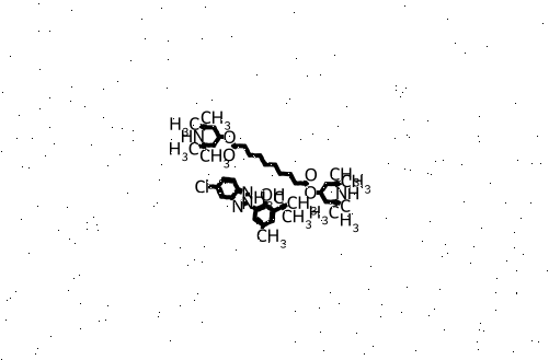 CC1(C)CC(OC(=O)CCCCCCCCC(=O)OC2CC(C)(C)NC(C)(C)C2)CC(C)(C)N1.Cc1cc(-n2nc3ccc(Cl)cc3n2)c(O)c(C(C)(C)C)c1